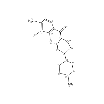 Cc1ccc(C(=O)C2OCC(C3CCC(C)CC3)CO2)c(Cl)c1F